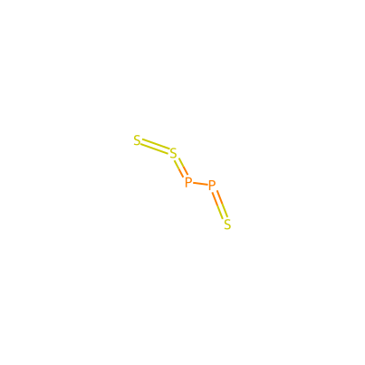 S=PP=S=S